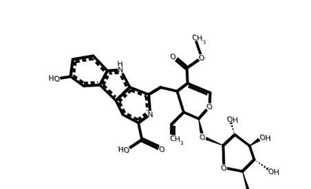 C=CC1C(Cc2nc(C(=O)O)cc3c2[nH]c2ccc(O)cc23)C(C(=O)OC)=CO[C@H]1O[C@@H]1O[C@H](CO)[C@@H](O)[C@H](O)[C@H]1O